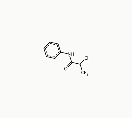 O=C(Nc1ccccc1)C(Cl)C(F)(F)F